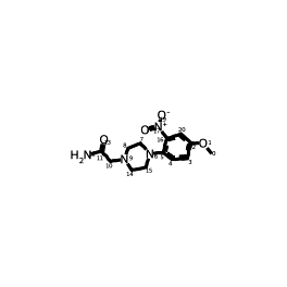 COc1ccc(N2CCN(CC(N)=O)CC2)c([N+](=O)[O-])c1